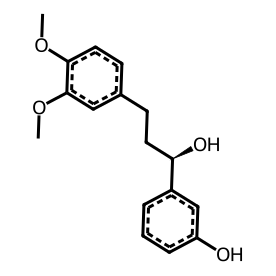 COc1ccc(CC[C@@H](O)c2cccc(O)c2)cc1OC